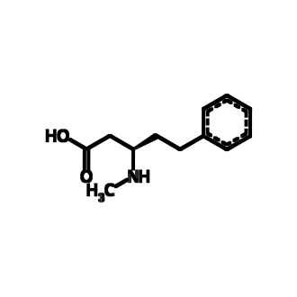 CN[C@H](CCc1ccccc1)CC(=O)O